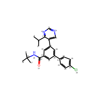 CC(C)c1ncncc1-c1cc(C(=O)NC(C)(C)C)cc(-c2ccc(Cl)cc2)c1